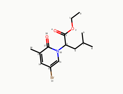 CCOC(=O)C(CC(C)C)n1cc(Br)cc(C)c1=O